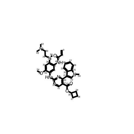 C=CC(=O)Nc1cc(Nc2ncc(C(=O)OC3CCC3)c(-c3cn(C)c4ccccc34)n2)c(OC)cc1N(C)CCN(C)C